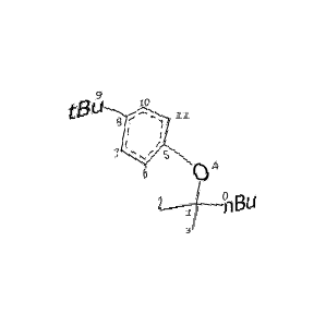 CCCCC(C)(C)Oc1ccc(C(C)(C)C)cc1